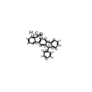 CP1(=O)c2ccccc2-c2cc3c(cc21)-c1ccccc1C3c1ccccc1